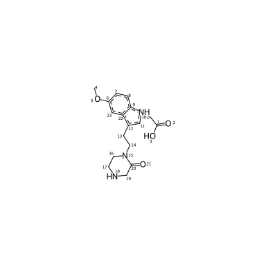 CC(=O)O.COc1ccc2[nH]cc(CCN3CCNCC3=O)c2c1